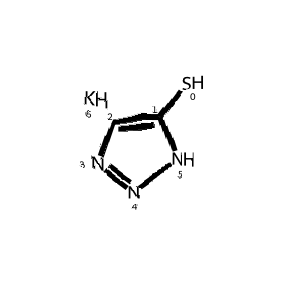 Sc1cnn[nH]1.[KH]